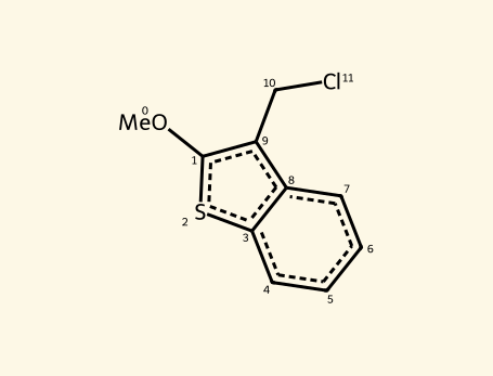 COc1sc2ccccc2c1CCl